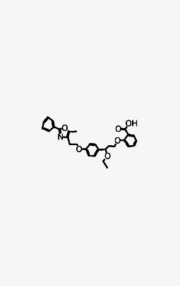 CCOC(CCOc1ccccc1C(=O)O)c1ccc(OCCc2nc(-c3ccccc3)oc2C)cc1